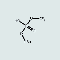 CCCCOP(=O)(O)OC(F)(F)F